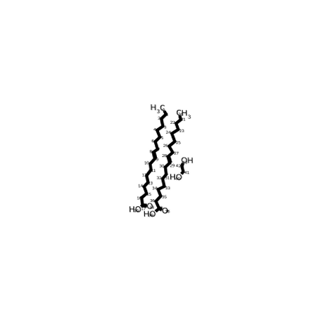 CCCCCCCCC=CCCCCCCCC(=O)O.CCCCCCCCC=CCCCCCCCC(=O)O.OCCO